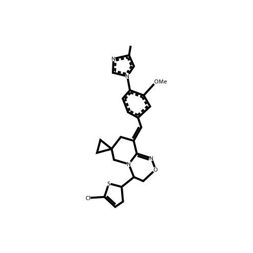 COc1cc(/C=C2\CC3(CC3)CN3C2=NOCC3C2CC=C(Cl)S2)ccc1-n1cnc(C)c1